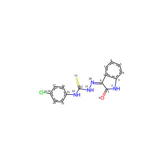 O=C1Nc2ccccc2/C1=N/NC(=S)Nc1ccc(Cl)cc1